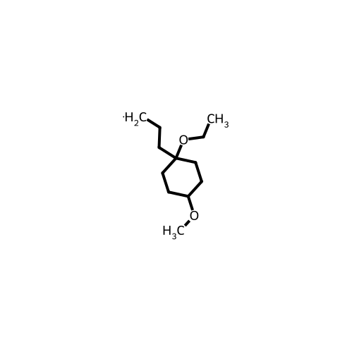 [CH2]CCC1(OCC)CCC(OC)CC1